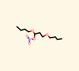 CCCCOCCC(OCCCC)O[N+](=O)[O-]